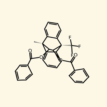 C[C@]12c3ccccc3[C@](C(F)(F)F)(c3ccccc31)C(OC(=O)c1ccccc1)C2OC(=O)c1ccccc1